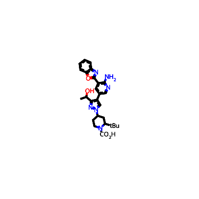 CC(O)c1nn(C2CCN(C(=O)O)C(C(C)(C)C)C2)cc1-c1cnc(N)c(-c2nc3ccccc3o2)c1